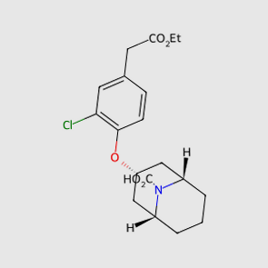 CCOC(=O)Cc1ccc(O[C@H]2C[C@H]3CCC[C@@H](C2)N3C(=O)O)c(Cl)c1